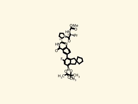 COC(=O)N[C@H](C(=O)N1CCC[C@H]1c1nc2ccc(-c3c(F)cc(B4OC(C)(C)C(C)(C)O4)c4c3CC3(CCCC3)C4)cc2c(=O)[nH]1)C(C)C